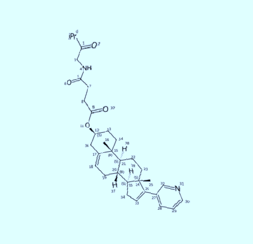 CC(C)C(=O)CNC(=O)CCC(=O)O[C@H]1CC[C@@]2(C)C(=CC[C@@H]3[C@@H]2CC[C@]2(C)C(c4cccnc4)=CC[C@@H]32)C1